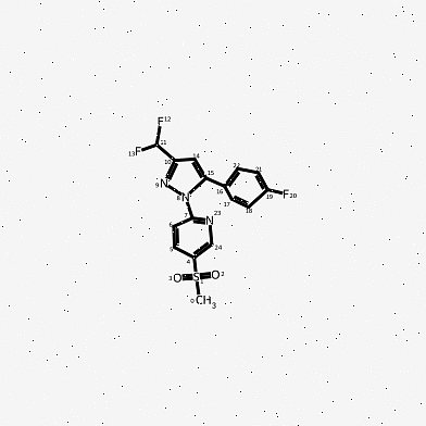 CS(=O)(=O)c1ccc(-n2nc(C(F)F)cc2-c2ccc(F)cc2)nc1